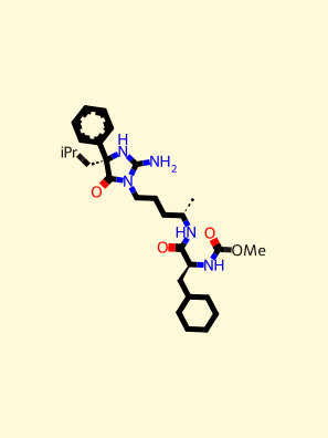 COC(=O)N[C@@H](CC1CCCCC1)C(=O)N[C@@H](C)CCCN1C(=O)[C@@](CC(C)C)(c2ccccc2)NC1N